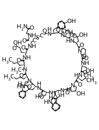 CCCC[C@H]1C(=O)N(C)[C@@H](CCCC)C(=O)N[C@@H](CCC(=O)O)C(=O)N[C@H](C(=O)NCC(N)=O)CSCC(=O)N[C@@H](Cc2ccc(O)cc2)C(=O)N(C)[C@@H](C)C(=O)N[C@@H](CC(=O)O)C(=O)N2CCC[C@H]2C(=O)N[C@@H](CO)C(=O)N[C@@H](CC(C)C)C(=O)N2C[C@H](O)C[C@H]2C(=O)N[C@@H](Cc2c[nH]c3ccccc23)C(=O)N[C@@H](CO)C(=O)N[C@@H](CC2CNc3ccccc32)C(=O)N1C